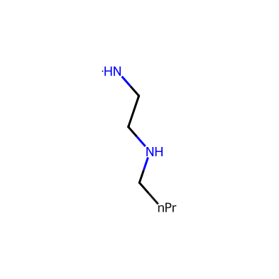 [CH2]CCCNCC[NH]